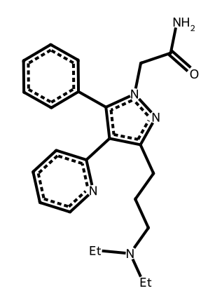 CCN(CC)CCCc1nn(CC(N)=O)c(-c2ccccc2)c1-c1ccccn1